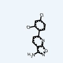 Nc1noc2nc(-c3ccc(Cl)cc3Cl)ccc12